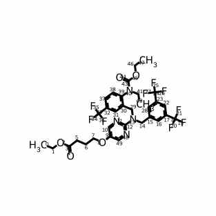 CCOC(=O)CCCOc1cnc(N(Cc2cc(C(F)(F)F)cc(C(F)(F)F)c2)Cc2cc(C(F)(F)F)ccc2N(CC)C(=O)OCC)nc1